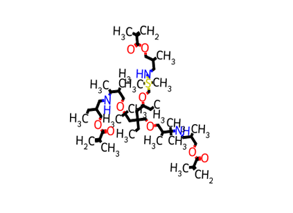 C=C(C)C(=O)OCC(C)CNC(C)(C)C(C)COCC(CC)(CC(CC)OCS(C)(C)NCC(C)COC(=O)C(=C)C)CC(C)(C)OCC(C)C(C)NCC(CC)COC(=O)C(=C)C